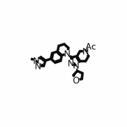 CC(=O)N1CCc2c(c(N3CCCc4cc(-c5cnn(C)c5)ccc43)nn2[C@H]2CCOC2)C1